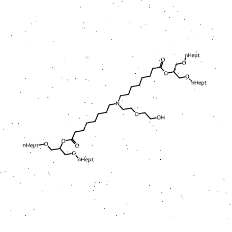 CCCCCCCOCC(COCCCCCCC)OC(=O)CCCCCCCN(CCCCCCCC(=O)OC(COCCCCCCC)COCCCCCCC)CCOCCO